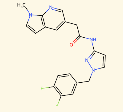 Cn1ccc2cc(CC(=O)Nc3ccn(Cc4ccc(F)c(F)c4)n3)cnc21